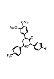 COc1ccc(N(CCc2ccc(C(F)(F)F)cc2)C(=O)C(O)c2ccc(F)cc2)cc1OC